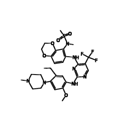 CCc1cc(Nc2ncc(C(F)(F)F)c(Nc3ccc4c(c3N(C)S(C)(=O)=O)OCCO4)n2)c(OC)cc1N1CCN(C)CC1